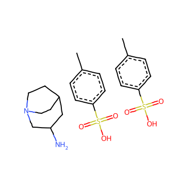 Cc1ccc(S(=O)(=O)O)cc1.Cc1ccc(S(=O)(=O)O)cc1.NC1CC2CCN(CC2)C1